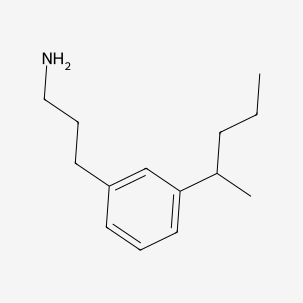 CCCC(C)c1cccc(CCCN)c1